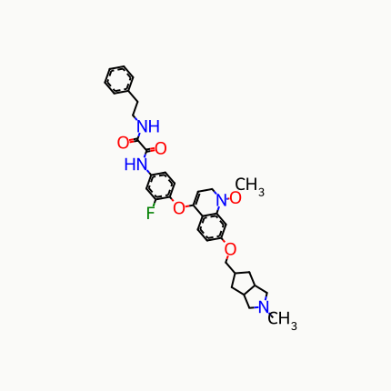 CON1CC=C(Oc2ccc(NC(=O)C(=O)NCCc3ccccc3)cc2F)c2ccc(OCC3CC4CN(C)CC4C3)cc21